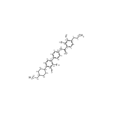 CCCc1ccc(C(=O)Oc2ccc(-c3ccc(C4CCC(CC)CC4)c(F)c3F)cc2)c(F)c1F